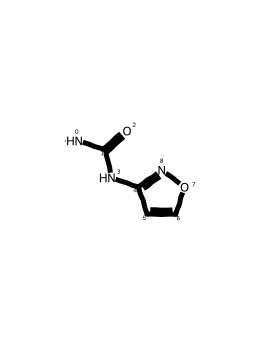 [NH]C(=O)Nc1ccon1